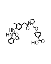 COc1ccccc1NC(=O)Nc1ccc(CC(=O)N2CCC[C@H]2COc2ccc(C(=O)O)cc2)cc1C